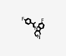 CC(=Cn1c2c(c3ccc(F)cc31)CN(C)CC2)c1ccc(F)cc1